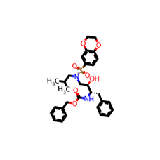 CC(C)CN(C[C@@H](O)[C@H](Cc1ccccc1)NC(=O)OCc1ccccc1)S(=O)(=O)c1ccc2c(c1)OCCO2